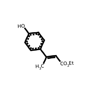 CCOC(=O)C=C(C)c1ccc(O)cc1